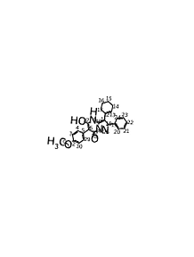 COc1ccc(-c2c(O)[nH]c3c(C4=CCCCC4)c(-c4ccccc4)nn3c2=O)cc1